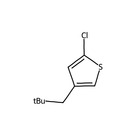 CC(C)(C)Cc1csc(Cl)c1